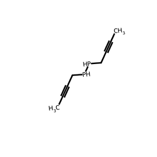 CC#CCPPCC#CC